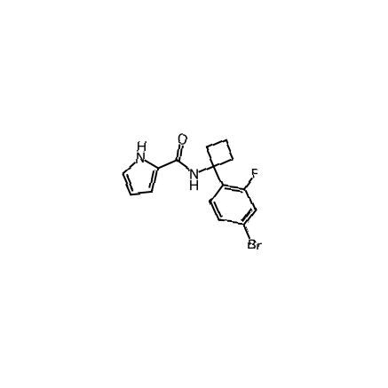 O=C(NC1(c2ccc(Br)cc2F)CCC1)c1ccc[nH]1